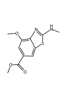 CNc1nc2c(OC)cc(C(=O)OC)cc2s1